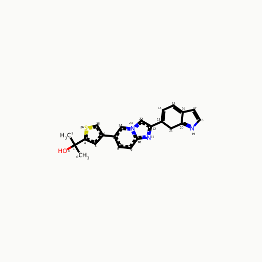 CC(C)(O)c1cc(-c2ccc3nc(C4=CC=C5C=CN=C5C4)cn3c2)cs1